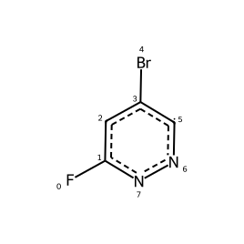 Fc1cc(Br)[c]nn1